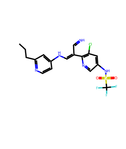 CCCc1cc(N/C=C(\C=N)c2ncc(NS(=O)(=O)C(F)(F)F)cc2Cl)ccn1